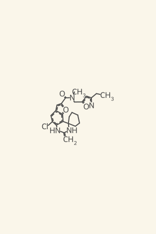 C=C1Nc2c(Cl)cc3cc(C(=O)N(C)Cc4cc(CC)no4)oc3c2C2(CCCCC2)N1